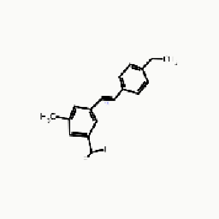 CCc1ccc(/C=C/c2cc(C)cc(C(F)F)c2)cc1